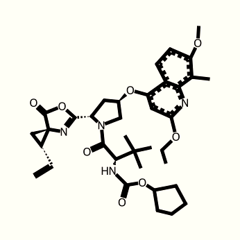 C=C[C@@H]1C[C@@]12N=C([C@@H]1C[C@@H](Oc3cc(OCC)nc4c(C)c(OC)ccc34)CN1C(=O)[C@@H](NC(=O)OC1CCCC1)C(C)(C)C)OC2=O